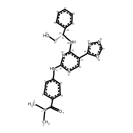 CN(C)C(=O)c1ccc(Nc2ncc(-c3nnco3)c(N[C@H](CO)c3ccccc3)n2)cc1